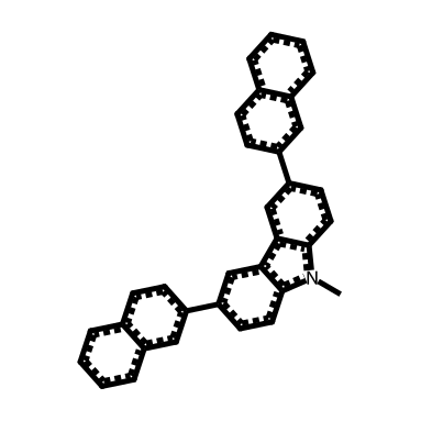 Cn1c2ccc(-c3ccc4ccccc4c3)cc2c2cc(-c3ccc4ccccc4c3)ccc21